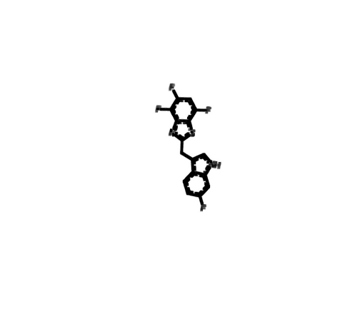 Fc1ccc2c(Cc3nc4c(F)c(F)cc(F)c4s3)c[nH]c2c1